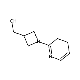 OCC1CN(C2=NC=CCC2)C1